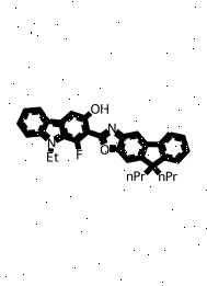 CCCC1(CCC)c2ccccc2-c2cc3nc(-c4c(O)cc5c6ccccc6n(CC)c5c4F)oc3cc21